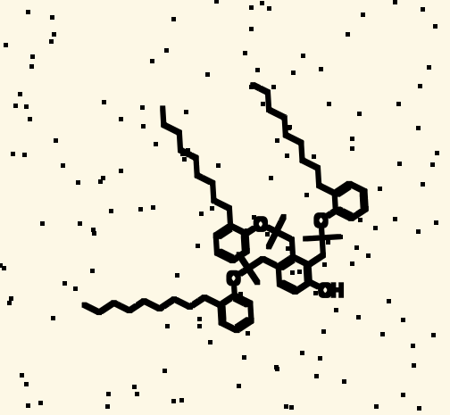 CCCCCCCCCc1ccccc1OC(C)(C)Cc1ccc(O)c(CC(C)(C)Oc2ccccc2CCCCCCCCC)c1CC(C)(C)Oc1ccccc1CCCCCCCCC